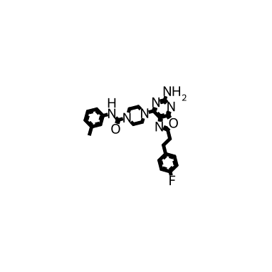 Cc1cccc(NC(=O)N2CCN(c3nc(N)nc4oc(CCc5ccc(F)cc5)nc34)CC2)c1